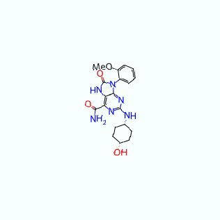 COc1ccccc1-n1c(=O)[nH]c2c(C(N)=O)nc(N[C@H]3CC[C@@H](O)CC3)nc21